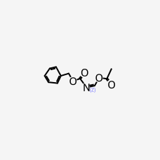 CC(=O)O/C=N\C(=O)OCc1ccccc1